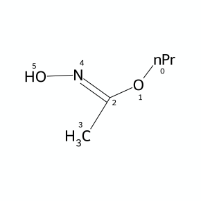 CCCOC(C)=NO